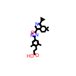 Cc1cc(-c2noc(-c3cnc(C4CC4)c4c3CCC(C)(C)C4)n2)cc(C)c1CCC(=O)O